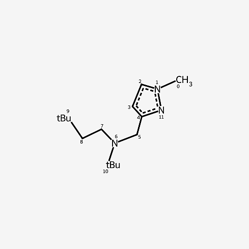 Cn1ccc(CN(CCC(C)(C)C)C(C)(C)C)n1